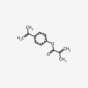 C=C(C)C(=O)Oc1ccc(C(=C)C)cc1